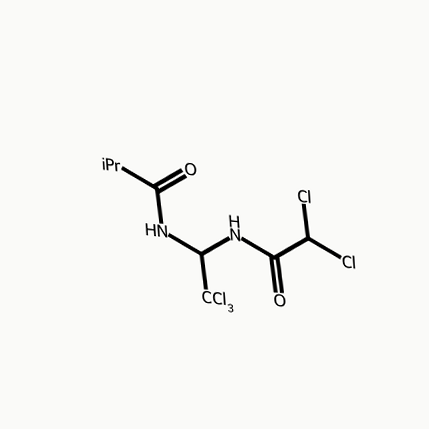 CC(C)C(=O)NC(NC(=O)C(Cl)Cl)C(Cl)(Cl)Cl